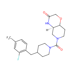 O=C1COC2CCN(C(=O)N3CCC(Cc4ccc(C(F)(F)F)cc4F)CC3)C[C@H]2N1